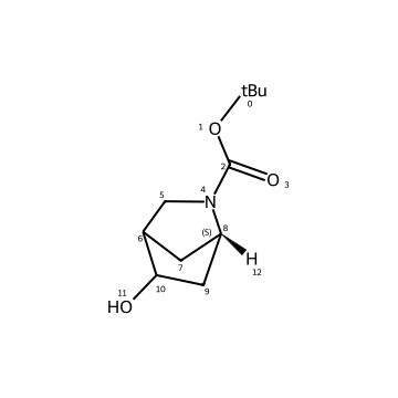 CC(C)(C)OC(=O)N1CC2C[C@H]1CC2O